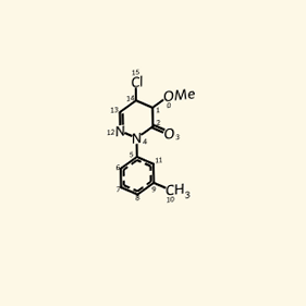 COC1C(=O)N(c2cccc(C)c2)N=CC1Cl